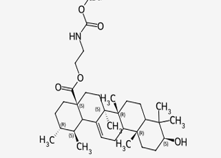 C[C@@H]1CC[C@]2(C(=O)OCCNC(=O)OC(C)(C)C)CC[C@]3(C)C(=CCC4[C@@]5(C)CC[C@H](O)C(C)(C)C5CC[C@]43C)C2[C@H]1C